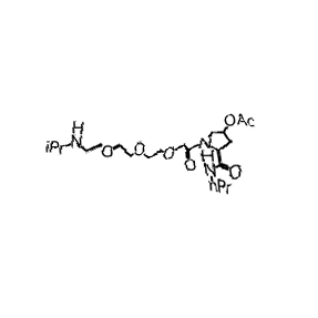 CCCNC(=O)C1CC(OC(C)=O)CN1C(=O)COCCOCCOCCNC(C)C